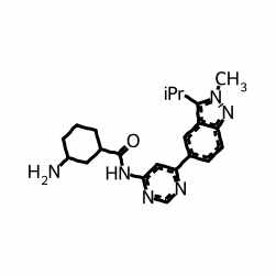 CC(C)c1c2cc(-c3cc(NC(=O)C4CCCC(N)C4)ncn3)ccc2nn1C